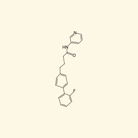 O=C(CCCc1ccc(-c2ccccc2F)cc1)Nc1cccnc1